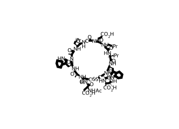 CC(=O)N[C@@H](CC(=O)O)C(=O)N[C@H]1CSSC[C@@H](C(=O)N[C@H](C(=O)O)[C@@H](C)O)NC(=O)[C@H](Cc2c[nH]c3ccccc23)NC(=O)[C@H](C(C)C)NC(=O)[C@H](CC(C)C)NC(=O)[C@H](CCC(=O)O)NC(=O)CNC(=O)[C@H](CC(C)C)NC(=O)[C@H](C)NC(=O)[C@H](Cc2c[nH]c3ccccc23)NC(=O)[C@H](C)NC1=O